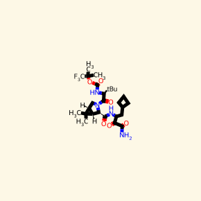 CC(C)(C)[C@H](NC(=O)OC(C)(C)C(F)(F)F)C(=O)N1C[C@H]2[C@@H]([C@H]1C(=O)NC(CC1CCC1)C(=O)C(N)=O)C2(C)C